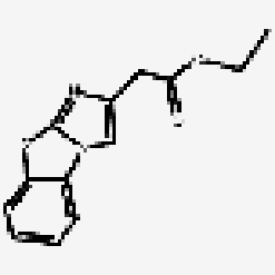 CCOC(=O)Cc1cn2c(n1)sc1ccccc12